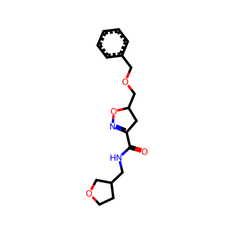 O=C(NCC1CCOC1)C1=NOC(COCc2ccccc2)C1